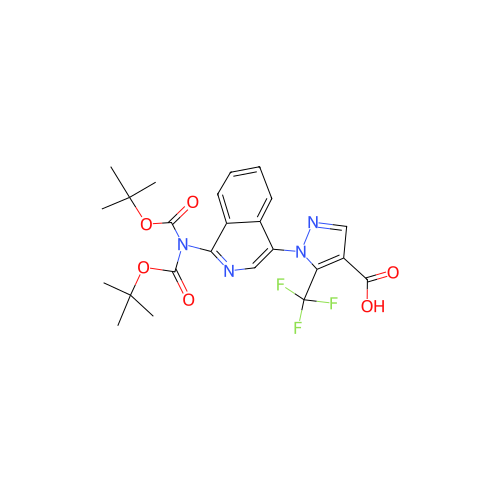 CC(C)(C)OC(=O)N(C(=O)OC(C)(C)C)c1ncc(-n2ncc(C(=O)O)c2C(F)(F)F)c2ccccc12